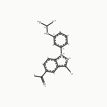 CC(=O)c1ccc2c(c1)c(I)nn2-c1cccc(OC(F)F)c1